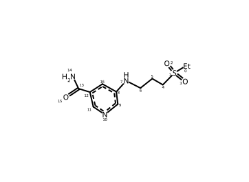 CCS(=O)(=O)CCCNc1cncc(C(N)=O)c1